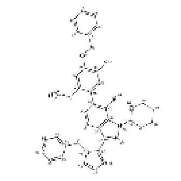 CCc1cc(OCc2ccccc2)c(F)cc1-c1ccc2c(-c3nccn3Cc3ccccc3)nn(C3CCCCO3)c2c1F